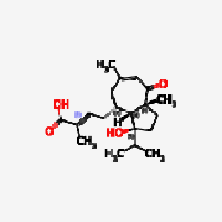 CC1=CC(=O)[C@]2(C)CC[C@](O)(C(C)C)[C@@H]2[C@H](C/C=C(\C)C(=O)O)C1